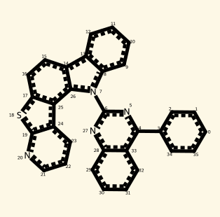 c1ccc(-c2nc(-n3c4ccccc4c4ccc5sc6ncccc6c5c43)nc3ccccc23)cc1